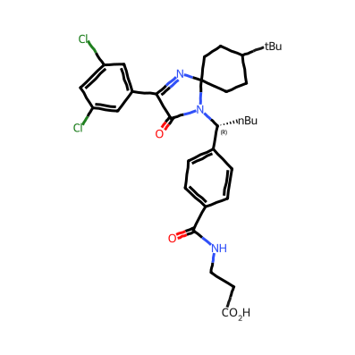 CCCC[C@H](c1ccc(C(=O)NCCC(=O)O)cc1)N1C(=O)C(c2cc(Cl)cc(Cl)c2)=NC12CCC(C(C)(C)C)CC2